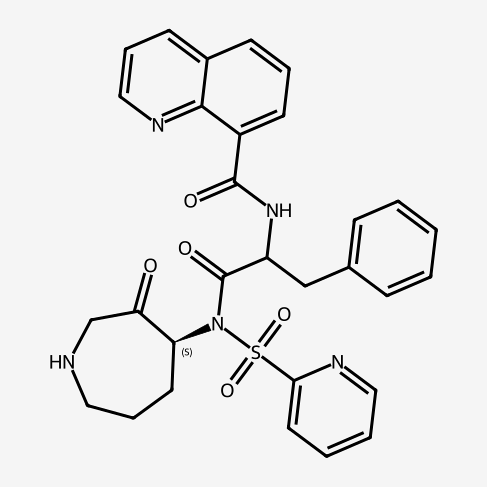 O=C(NC(Cc1ccccc1)C(=O)N([C@H]1CCCNCC1=O)S(=O)(=O)c1ccccn1)c1cccc2cccnc12